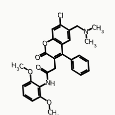 COc1cccc(OC)c1NC(=O)Cc1c(-c2ccccc2)c2cc(CN(C)C)c(Cl)cc2oc1=O